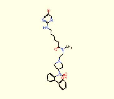 CN(CCN1CCC(N(C(=O)O)c2ccccc2-c2ccccc2)CC1)C(=O)CCCCCNc1ncc(Br)cn1